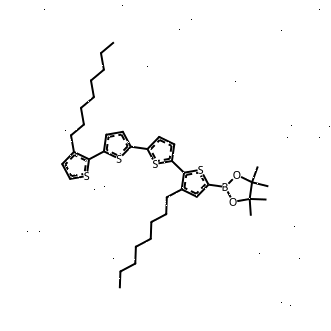 CCCCCCCCc1ccsc1-c1ccc(-c2ccc(-c3sc(B4OC(C)(C)C(C)(C)O4)cc3CCCCCCCC)s2)s1